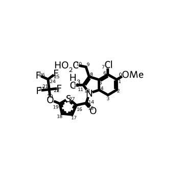 COC1=CCC2C(=C1Cl)C(CC(=O)O)=C(C)N2C(=O)c1ccc(OC(F)(F)C(F)F)s1